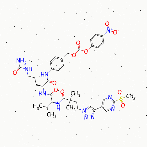 CC(C)[C@H](NC(=O)C(C)(C)CCn1cc(-c2cnc(S(C)(=O)=O)nc2)nn1)C(=O)N[C@@H](CCCNC(N)=O)C(=O)Nc1ccc(COC(=O)Oc2ccc([N+](=O)[O-])cc2)cc1